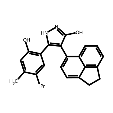 Cc1cc(O)c(-c2[nH]nc(O)c2-c2ccc3c4c(cccc24)CC3)cc1C(C)C